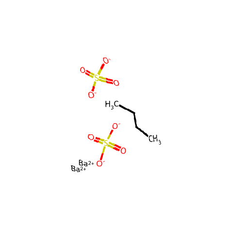 CCCC.O=S(=O)([O-])[O-].O=S(=O)([O-])[O-].[Ba+2].[Ba+2]